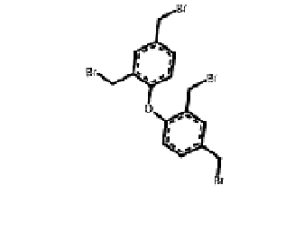 BrCc1ccc(Oc2ccc(CBr)cc2CBr)c(CBr)c1